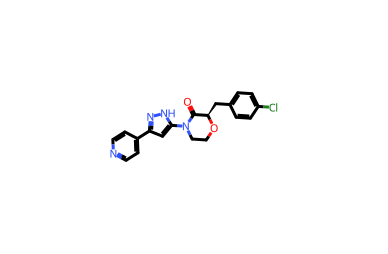 O=C1[C@@H](Cc2ccc(Cl)cc2)OCCN1c1cc(-c2ccncc2)n[nH]1